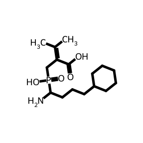 CC(C)=C(CP(=O)(O)C(N)CCCC1CCCCC1)C(=O)O